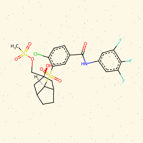 CS(=O)(=O)OC[C@]1(O)CC2CCC(C1)[C@H]2S(=O)(=O)c1cc(C(=O)Nc2cc(F)c(F)c(F)c2)ccc1Cl